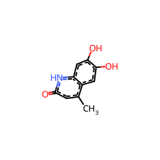 Cc1cc(=O)[nH]c2cc(O)c(O)cc12